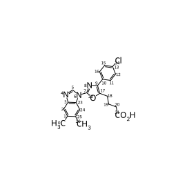 Cc1cc2ncn(-c3nc(-c4ccc(Cl)cc4)c(CCCC(=O)O)o3)c2cc1C